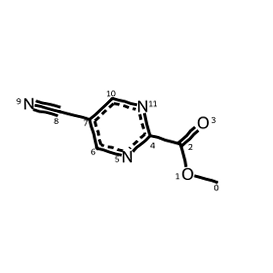 COC(=O)c1ncc(C#N)cn1